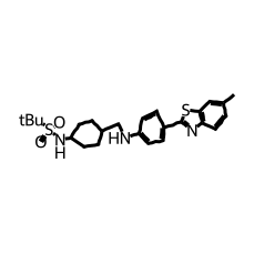 Cc1ccc2nc(-c3ccc(NCC4CCC(NS(=O)(=O)C(C)(C)C)CC4)cc3)sc2c1